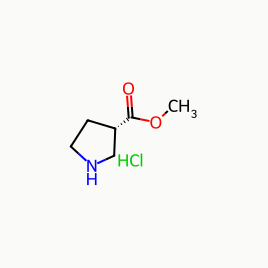 COC(=O)[C@H]1CCNC1.Cl